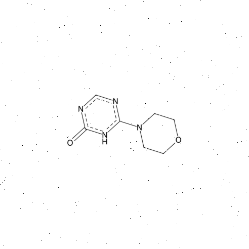 O=c1ncnc(N2CCOCC2)[nH]1